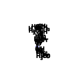 CC(C)C[C@@H](/C=C/CC(=O)N1CCC[C@H]1C(=O)NC(C(=O)NCC(=O)NC1CC(C)(C)N(O)C(C)(C)C1)C(C)C)NC(=O)OCC[S+]([O-])CC1(C)COC1